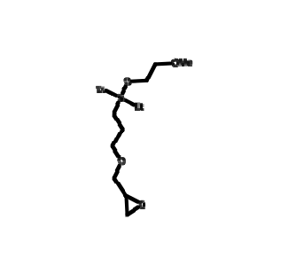 CC[Si](CC)(CCCOCC1CO1)OCCOC